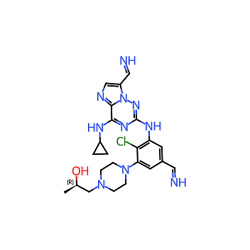 C[C@@H](O)CN1CCN(c2cc(C=N)cc(Nc3nc(NC4CC4)c4ncc(C=N)n4n3)c2Cl)CC1